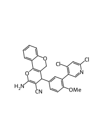 COc1ccc(C2C(C#N)=C(N)OC3=C2COc2ccccc23)cc1-c1cnc(Cl)cc1Cl